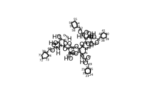 CC[C@@H]1O[C@H](O[C@H]2[C@@H](O)[C@H](O[C@@H]3[C@@H](O)[C@H](NC(=O)OCc4ccccc4)C[C@H](C)[C@H]3O[C@H]3O[C@@H]4COC(c5ccccc5)O[C@H]4[C@H](O)[C@H]3NC(=O)OCc3ccccc3)O[C@@H]2CO)[C@H](NC(=O)OCc2ccccc2)[C@@H](O)[C@@H]1O